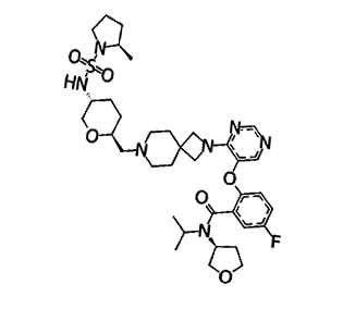 CC(C)N(C(=O)c1cc(F)ccc1Oc1cncnc1N1CC2(CCN(C[C@@H]3CC[C@@H](NS(=O)(=O)N4CCC[C@H]4C)CO3)CC2)C1)[C@H]1CCOC1